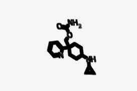 NC(=O)OCC1(c2ccccn2)CCC(NC2CC2)CC1